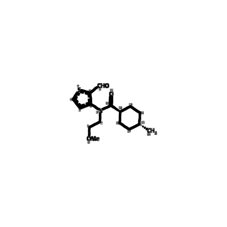 COCCN(c1ccsc1C=O)C(=O)[C@H]1CC[C@H](C)CC1